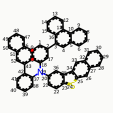 c1cc(-c2cc3ccccc3c3ccccc23)cc(N(c2ccc3sc4cc5ccccc5cc4c3c2)c2ccccc2-c2ccc3ccccc3c2)c1